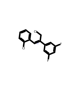 Fc1cc(F)cc(/C(=C/c2ccccc2Cl)CCl)c1